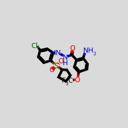 Nc1ccc(OC(F)(F)F)cc1C(=O)NNc1cc(Cl)ccc1S(=O)(=O)C1CCCC1